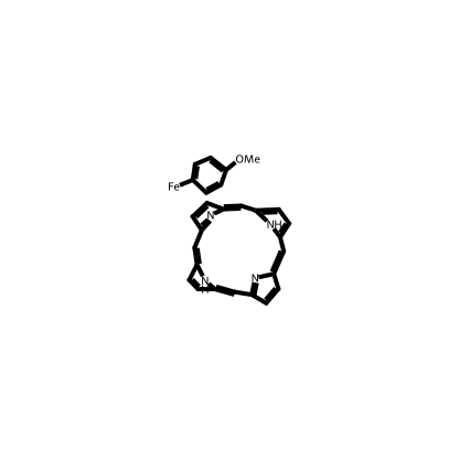 C1=Cc2cc3ccc(cc4nc(cc5ccc(cc1n2)[nH]5)C=C4)[nH]3.COc1cc[c]([Fe])cc1